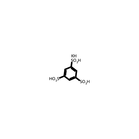 O=S(=O)(O)c1cc(S(=O)(=O)O)cc(S(=O)(=O)O)c1.[KH]